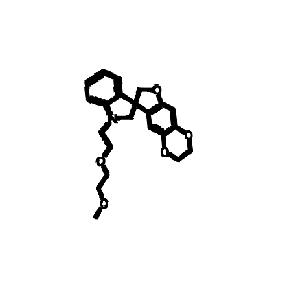 COCCOCCN1CC2(COc3cc4c(cc32)OCCO4)c2ccccc21